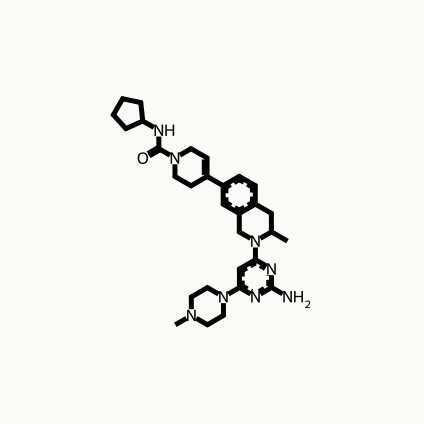 CC1Cc2ccc(C3=CCN(C(=O)NC4CCCC4)CC3)cc2CN1c1cc(N2CCN(C)CC2)nc(N)n1